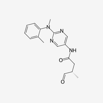 Cc1ccccc1N(C)c1ncc(NC(=O)C[C@H](C)C=O)cn1